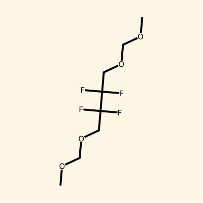 COCOCC(F)(F)C(F)(F)COCOC